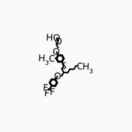 CCCCCC(COc1ccc(C(F)(F)F)cc1)CSc1ccc(OCCOO)c(C)c1